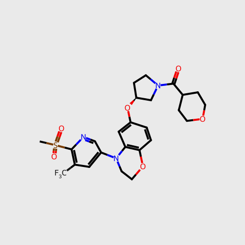 CS(=O)(=O)c1ncc(N2CCOc3ccc(O[C@H]4CCN(C(=O)C5CCOCC5)C4)cc32)cc1C(F)(F)F